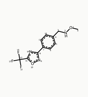 CONCc1ccc(-c2noc(C(F)(F)F)n2)cc1